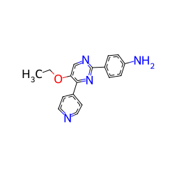 CCOc1cnc(-c2ccc(N)cc2)nc1-c1ccncc1